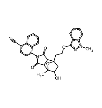 Cn1nc(OCCC23CC(O)C(C)(O2)C2C(=O)N(c4ccc(C#N)c5ccccc45)C(=O)C23)c2ccccc21